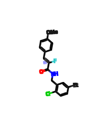 CCc1ccc(Cl)c(CNC(=O)/C(F)=C/c2ccc(OC)cc2)c1